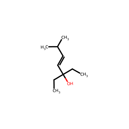 CCC(O)(/C=C/C(C)C)CC